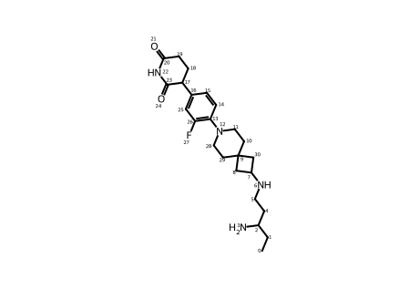 CCC(N)CCNC1CC2(CCN(c3ccc(C4CCC(=O)NC4=O)cc3F)CC2)C1